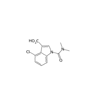 CN(C)C(=O)n1cc(C(=O)O)c2c(Cl)cccc21